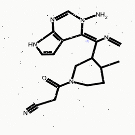 C=N/C(=C1/c2cc[nH]c2N=CN1N)C1CN(C(=O)CC#N)CCC1C